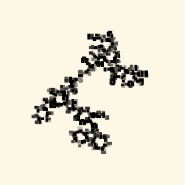 CC[C@@]1(O)C(=O)OCc2c1cc1n(c2=O)Cc2c-1nc1cc(Cl)c(C)c3c1c2[C@@H](NC(=O)COCNC(=O)CNC(=O)[C@H](Cc1ccccc1)NC(=O)CNC(=O)CN(C)C(=O)OC1c2ccccc2-c2ccccc21)CC3